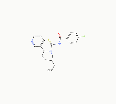 O=CCC1CCC(c2cccnc2)N(C(=S)NC(=O)c2ccc(F)cc2)C1